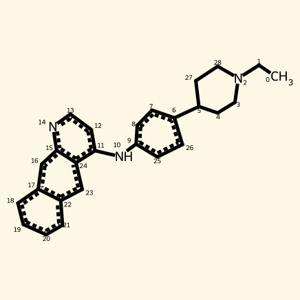 CCN1CCC(c2ccc(Nc3ccnc4cc5ccccc5cc34)cc2)CC1